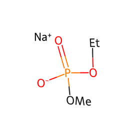 CCOP(=O)([O-])OC.[Na+]